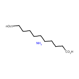 CCCCCCCCCCCCCCCCCC(=O)O.N